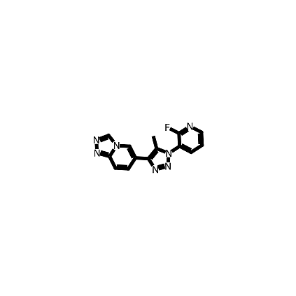 Cc1c(-c2ccc3nncn3c2)nnn1-c1cccnc1F